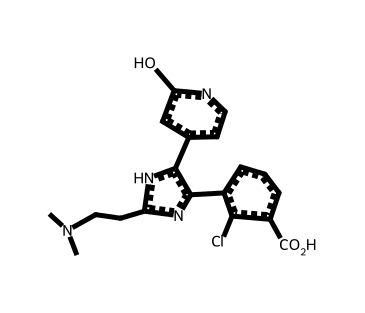 CN(C)CCc1nc(-c2cccc(C(=O)O)c2Cl)c(-c2ccnc(O)c2)[nH]1